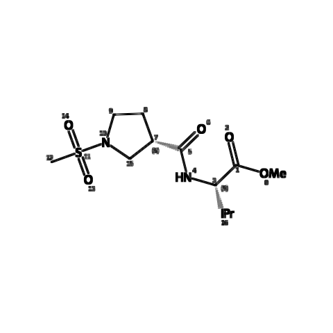 COC(=O)[C@@H](NC(=O)[C@H]1CCN(S(C)(=O)=O)C1)C(C)C